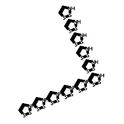 C1=CSSN1.C1=CSSN1.C1=CSSN1.C1=CSSN1.C1=CSSN1.C1=CSSN1.C1=CSSN1.C1=CSSN1.C1=CSSN1.C1=CSSN1.C1=CSSN1